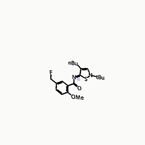 CCCCc1cn(C(C)(C)C)s/c1=N\C(=O)c1cc(CF)ccc1OC